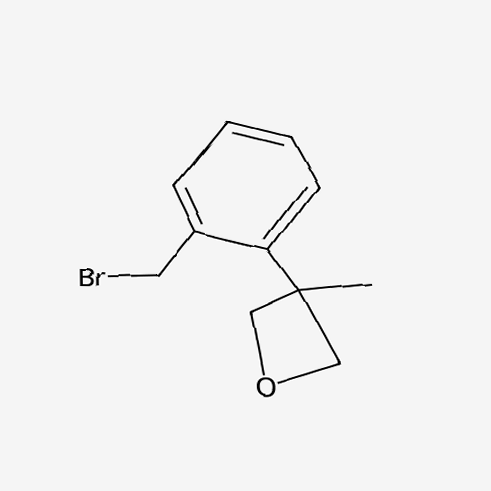 CC1(c2ccccc2CBr)COC1